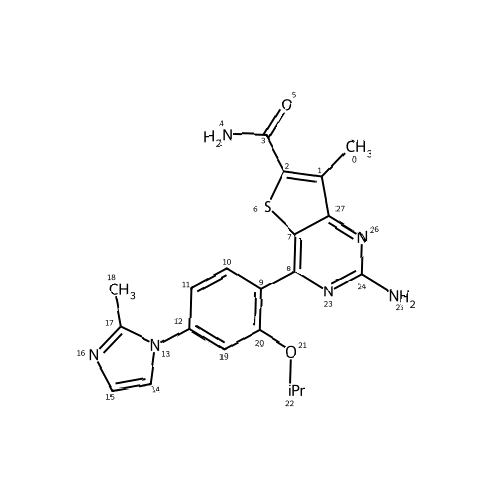 Cc1c(C(N)=O)sc2c(-c3ccc(-n4ccnc4C)cc3OC(C)C)nc(N)nc12